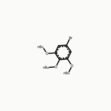 CCCCOc1cc(Br)cc(OCCCC)c1OCCCC